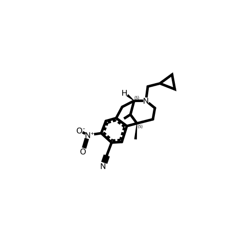 CC1[C@@H]2Cc3cc([N+](=O)[O-])c(C#N)cc3[C@@]1(C)CCN2CC1CC1